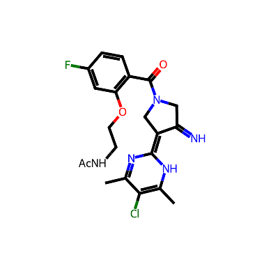 CC(=O)NCCOc1cc(F)ccc1C(=O)N1CC(=N)/C(=C2/N=C(C)C(Cl)=C(C)N2)C1